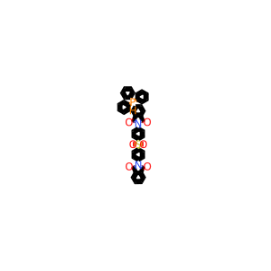 O=C1c2ccccc2C(=O)N1c1ccc(S(=O)(=O)c2ccc(N3C(=O)c4ccc([PH](c5ccccc5)(c5ccccc5)c5ccccc5)cc4C3=O)cc2)cc1